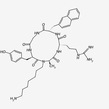 C[C@@H]1C(=O)N[C@@H](CCCNC(=N)N)C(=O)N[C@@H](Cc2ccc3ccccc3c2)C(=O)NCC(=O)N[C@H](Cc2ccc(O)cc2)C(=O)N1CCCCCCCN